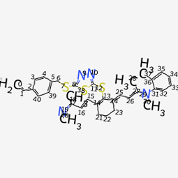 C=Cc1ccc(CSc2nnc(SC3=C(/C=C/C(C)=N\C)CCC/C3=C\C=C(/C)N(C)c3ccccc3C)s2)cc1